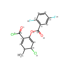 CC1C=C(C(=O)Cl)C(OC(=O)c2cc(F)ccc2F)=CC1Cl